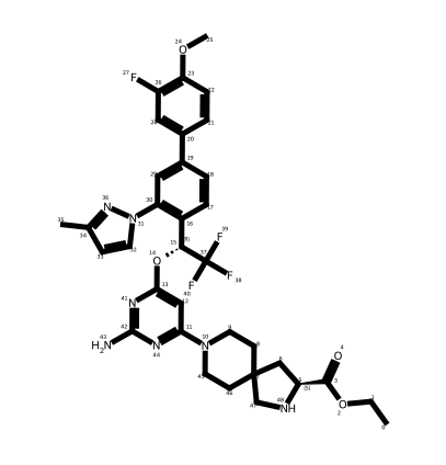 CCOC(=O)[C@@H]1CC2(CCN(c3cc(O[C@H](c4ccc(-c5ccc(OC)c(F)c5)cc4-n4ccc(C)n4)C(F)(F)F)nc(N)n3)CC2)CN1